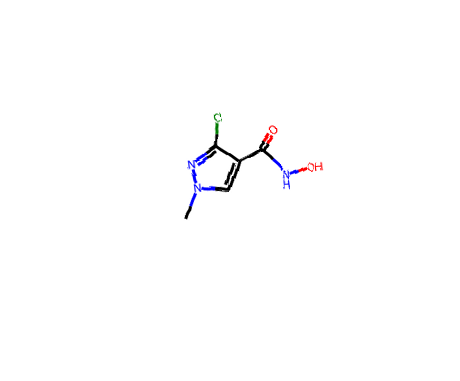 Cn1cc(C(=O)NO)c(Cl)n1